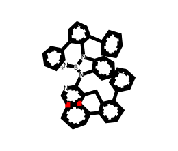 NB1N(c2ncccc2Cc2c(-c3ccccc3)cccc2-c2ccccc2)c2ccccc2N1c1c(-c2ccccc2)cccc1-c1ccccc1